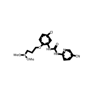 CON(CCCOc1ccc(Cl)cc1NC(=O)Nc1ccc(C#N)cn1)OC